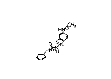 CONc1ccc2nc(NC(=O)NCc3ccccc3)sc2c1